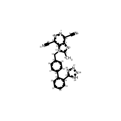 Cc1nc2c(C#N)nnc(C#N)c2n1Cc1ccc(-c2ccccc2-c2nnn[nH]2)cc1